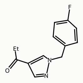 CCC(=O)c1cnn(Cc2ccc(F)cc2)c1